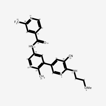 COCCNc1ncc(-c2cc(NC(=O)c3ccnc(C(F)(F)F)c3)cnc2C)cc1C#N